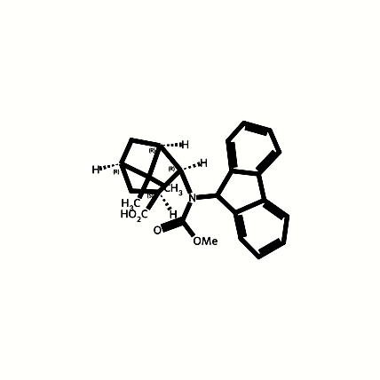 COC(=O)N(C1c2ccccc2-c2ccccc21)[C@H]1[C@@H](C(=O)O)C[C@H]2C[C@@H]1C2(C)C